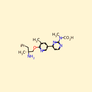 Cc1cc(-c2ccnc(N(C)C(=O)O)n2)cnc1OC[C@@](C)(N)CC(C)C